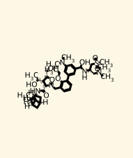 C=C1[C@H]2C[C@H](NC(=O)[C@@H]3[C@H]([C@H](C)O)[C@H](CO)ON3Cc3cccc(-c4cc(C(O)N[C@H](CN(C)C)CS(C)(=O)=O)cc(N(C)C)c4)c3OCC)[C@@H](C)[C@@H]1C2